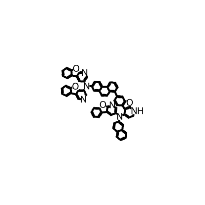 C1=C(N(c2ccc3ccccc3c2)c2cnc3oc4ccccc4c3c2)c2c(oc3cc(-c4cccc5c4ccc4cc(N(c6cnc7oc8ccccc8c7c6)c6cncc7c6oc6ccccc67)ccc45)ccc23)NC1